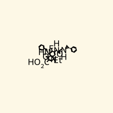 CCn1cc(C(=O)O)c(=O)c2c(NCc3ccccc3)c(F)c(NC(=O)CN[C@@H]3C[C@H]3c3ccccc3)cc21